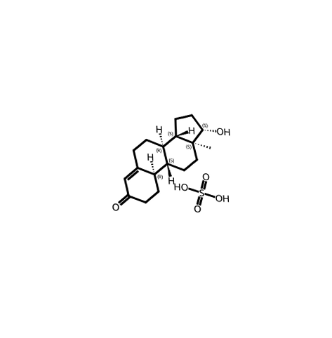 C[C@]12CC[C@H]3[C@@H](CCC4=CC(=O)CC[C@@H]43)[C@@H]1CC[C@@H]2O.O=S(=O)(O)O